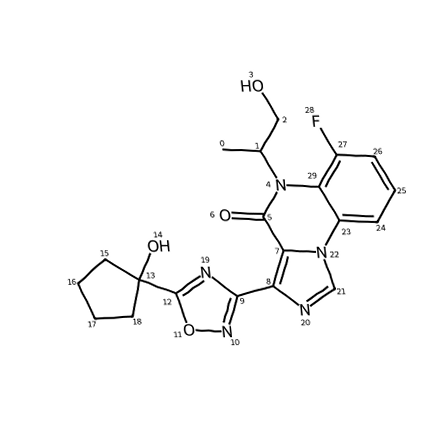 CC(CO)n1c(=O)c2c(-c3noc(C4(O)CCCC4)n3)ncn2c2cccc(F)c21